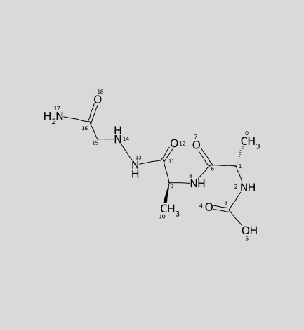 C[C@H](NC(=O)O)C(=O)N[C@@H](C)C(=O)NNCC(N)=O